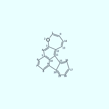 C1=COc2cc3cccc4c3c(c2C=C1)-c1ccccc1-4